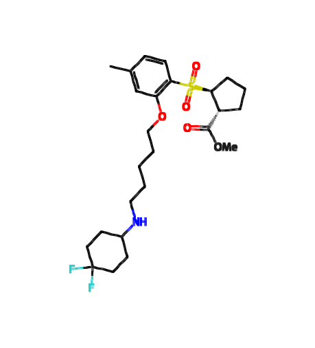 COC(=O)[C@H]1CCC[C@@H]1S(=O)(=O)c1ccc(C)cc1OCCCCCNC1CCC(F)(F)CC1